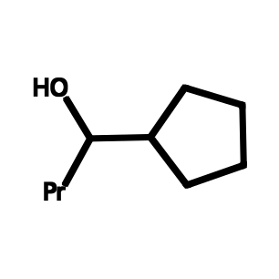 O[CH]([Pr])C1CCCC1